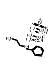 CC(=O)O.CC(=O)O.CC(=O)O.CC(=O)O.N=C=S.NCCNCc1ccccc1.[PbH2]